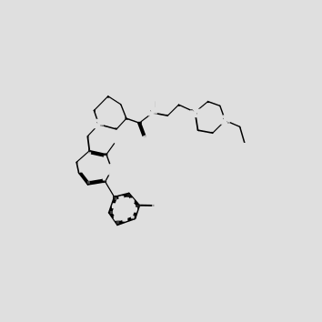 CCN1CCN(CCNC(=O)C2CCCN(CC3=C(C)OC(c4cccc(Cl)c4)=C=CC3)C2)CC1